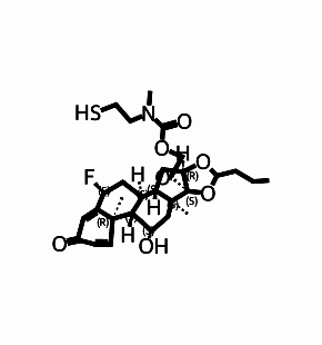 CCCC1O[C@@H]2C[C@H]3[C@@H]4C[C@H](F)C5=CC(=O)C=C[C@]5(C)[C@H]4[C@@H](O)C[C@]3(C)[C@]2(C(=O)COC(=O)N(C)CCS)O1